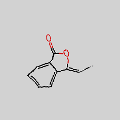 [CH2]C=C1OC(=O)c2ccccc21